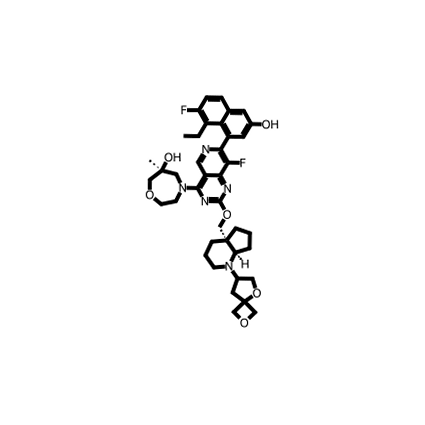 CCc1c(F)ccc2cc(O)cc(-c3ncc4c(N5CCOC[C@@](C)(O)C5)nc(OC[C@]56CCC[C@H]5N(C5COC7(COC7)C5)CCC6)nc4c3F)c12